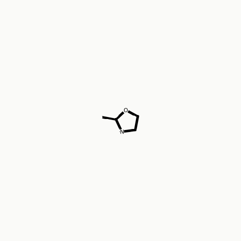 CC1[N]CCO1